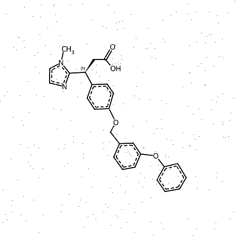 Cn1ccnc1[C@@H](CC(=O)O)c1ccc(OCc2cccc(Oc3ccccc3)c2)cc1